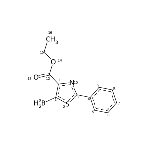 Bc1sc(-c2ccccc2)nc1C(=O)OCC